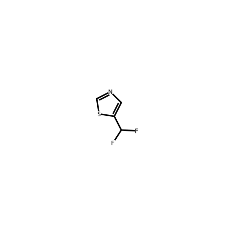 FC(F)c1cncs1